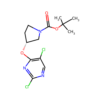 CC(C)(C)OC(=O)N1CC[C@@H](Oc2nc(Cl)ncc2Cl)C1